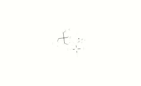 C[Si](C)(C)OP(=O)(O)O.NC(CO)(CO)CO